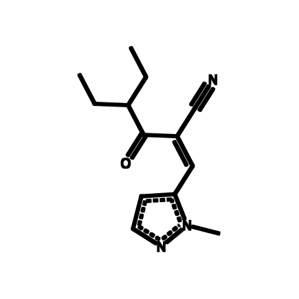 CCC(CC)C(=O)/C(C#N)=C\c1ccnn1C